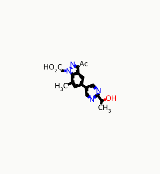 CC(=O)c1nn(CC(=O)O)c2c(C)cc(-c3cnc(C(C)O)nc3)cc12